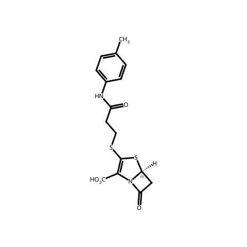 Cc1ccc(NC(=O)CCSC2=C(C(=O)O)N3C(=O)C[C@@H]3S2)cc1